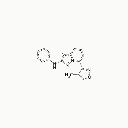 Cc1conc1-c1cccc2nc(Nc3ccccc3)nn12